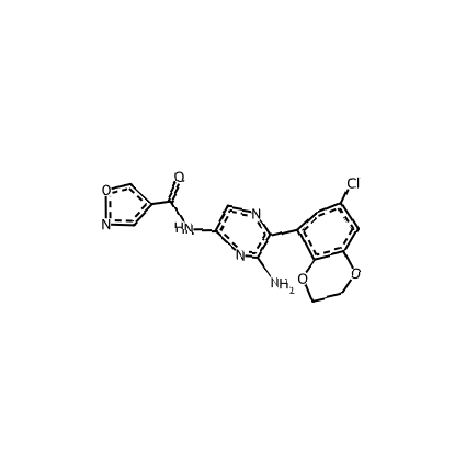 Nc1nc(NC(=O)c2cnoc2)cnc1-c1cc(Cl)cc2c1OCCO2